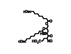 CCCCCCCCCCCCCCCCCC(=O)OCC(CNC(=O)C(CCC(=O)O)N=O)OC(O)CCCCCCCCCCCCCCCCC